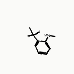 CNc1ccccc1C(C)(I)I